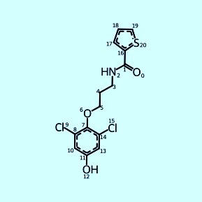 O=C(NCCCOc1c(Cl)cc(O)cc1Cl)c1cccs1